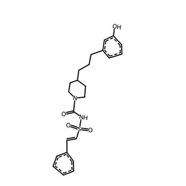 O=C(NS(=O)(=O)/C=C/c1ccccc1)N1CCC(CCCc2cccc(O)c2)CC1